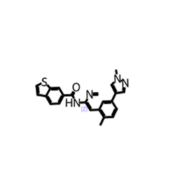 C=N/C(=C\c1cc(-c2cnn(C)c2)ccc1C)NC(=O)c1ccc2ccsc2c1